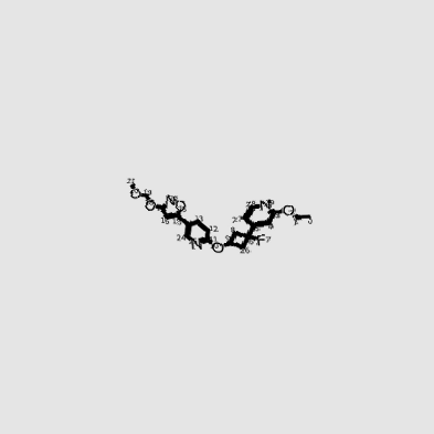 CCOc1cc(C2(F)CC(Oc3ccc(-c4cc(OCOC)no4)cn3)C2)ccn1